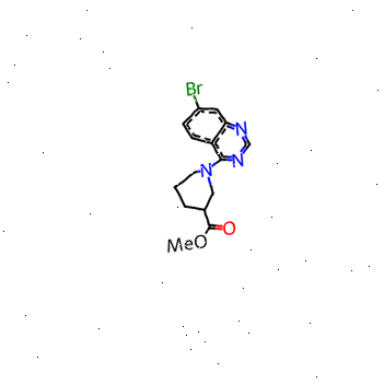 COC(=O)C1CCCN(c2ncnc3cc(Br)ccc23)C1